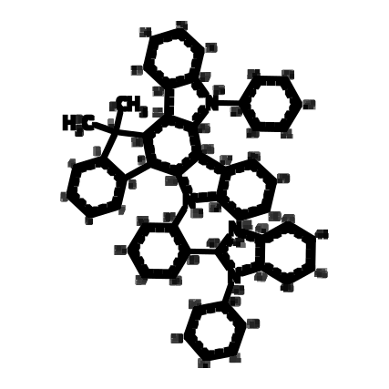 CC1(C)c2ccccc2-c2c1c1c3ccccc3n(-c3ccccc3)c1c1c3ccccc3n(-c3ccccc3-c3nc4ccccc4n3-c3ccccc3)c21